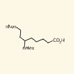 CCCCCCCCCCCC(CCCCCC)CCCCC(=O)O